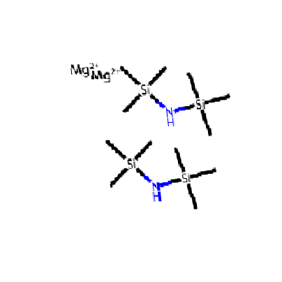 C[Si](C)(C)N[Si](C)(C)C.C[Si](C)(C)N[Si](C)(C)C.[Mg+2].[Mg+2]